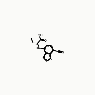 CC[C@@H](Nc1ccc(C#N)c2sccc12)C(=O)O